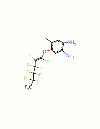 Cc1cc(N)c(N)cc1OC(F)=C(F)C(F)(F)C(F)(F)C(F)(F)C(F)(F)F